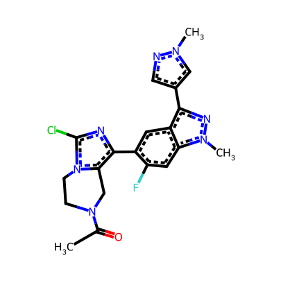 CC(=O)N1CCn2c(Cl)nc(-c3cc4c(-c5cnn(C)c5)nn(C)c4cc3F)c2C1